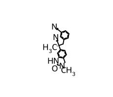 CN1Cc2ccc([C@@](C)(C#N)Cc3cccc(C#N)c3)cc2NC1=O